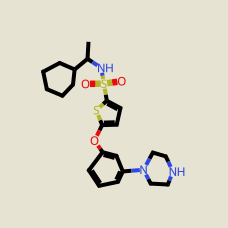 CC(NS(=O)(=O)c1ccc(Oc2cccc(N3CCNCC3)c2)s1)C1CCCCC1